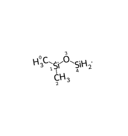 C[Si](C)O[SiH2]